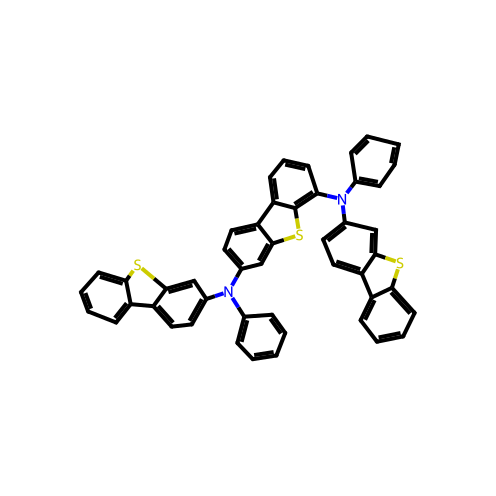 c1ccc(N(c2ccc3c(c2)sc2ccccc23)c2ccc3c(c2)sc2c(N(c4ccccc4)c4ccc5c(c4)sc4ccccc45)cccc23)cc1